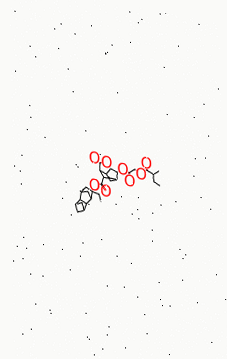 CCC(C)C(=O)OCC(=O)OC1C2CC3C1OC(=O)C3C2C(=O)OC1(CC)CC2CC1C1C3CC(C3)C21